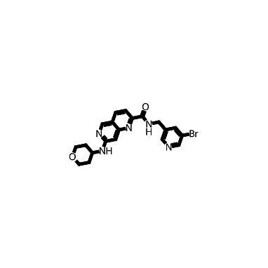 O=C(NCc1cncc(Br)c1)c1ccc2cnc(NC3CCOCC3)cc2n1